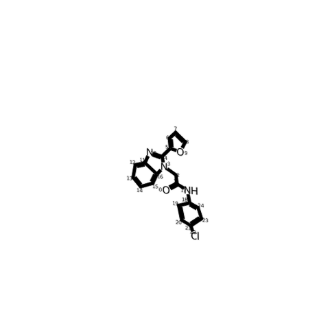 O=C(Cn1c(-c2ccco2)nc2ccccc21)Nc1ccc(Cl)cc1